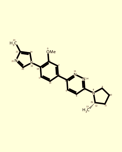 COc1cc(-c2ccc(N3CCC[C@@H]3C)nn2)ccc1-n1cnc(C)c1